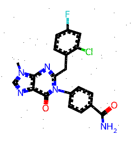 Cn1cnc2c(=O)n(-c3ccc(C(N)=O)cc3)c(Cc3ccc(F)cc3Cl)nc21